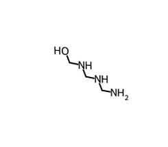 NCNCNCO